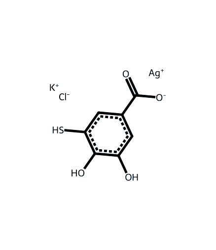 O=C([O-])c1cc(O)c(O)c(S)c1.[Ag+].[Cl-].[K+]